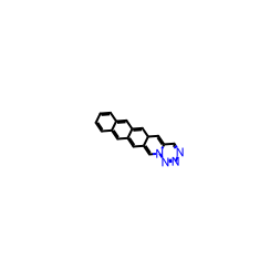 C1=NN=NN2C=C3C=c4cc5ccccc5cc4=CC3C=C12